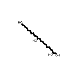 OCCCCCCCCCCC(O)CCCCCCCCCC(O)CO